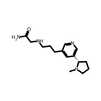 CN1CCC[C@H]1c1cncc(CCCNCC(N)=O)c1